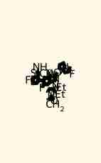 C=CC(=O)N1CC[C@@H](N(CC)c2nc(OC[C@@]34CCCN3C[C@H](F)C4)nc3cc(-c4ccc(F)c5sc(N)c(C#N)c45)c(F)cc23)[C@@H]1CC